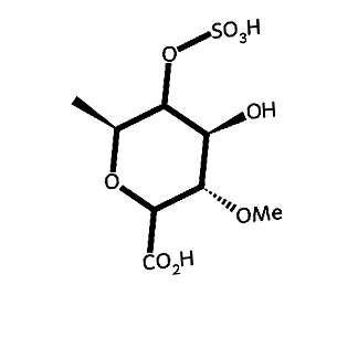 CO[C@@H]1C(C(=O)O)O[C@@H](C)C(OS(=O)(=O)O)[C@H]1O